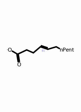 CCCCCC/C=C/CCC([O])=O